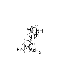 CC(C)CN1CC=C(N2C[C@H]3CCN[C@H]3C2)C=C1[AsH2]